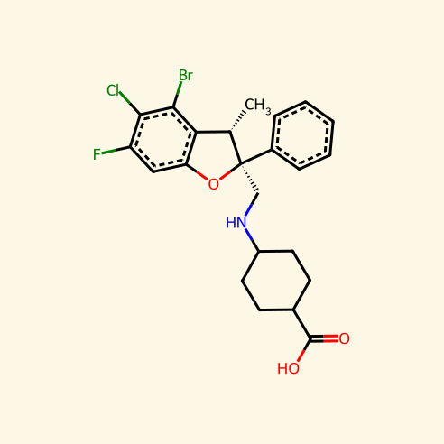 C[C@H]1c2c(cc(F)c(Cl)c2Br)O[C@]1(CNC1CCC(C(=O)O)CC1)c1ccccc1